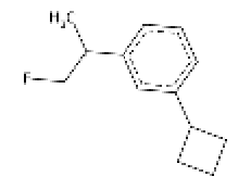 C[C](CF)c1cccc(C2CCC2)c1